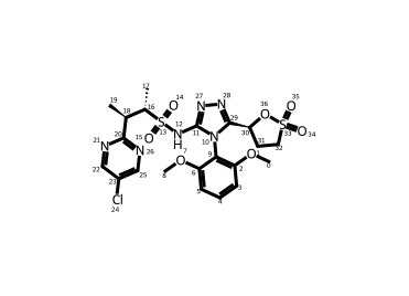 COc1cccc(OC)c1-n1c(NS(=O)(=O)[C@@H](C)[C@H](C)c2ncc(Cl)cn2)nnc1[C@@H]1CCS(=O)(=O)O1